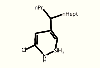 CCCCCCCC(CCC)C1=C[SiH2]NC(Cl)=C1